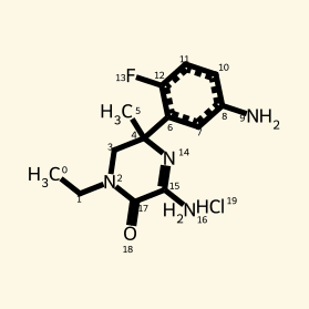 CCN1CC(C)(c2cc(N)ccc2F)N=C(N)C1=O.Cl